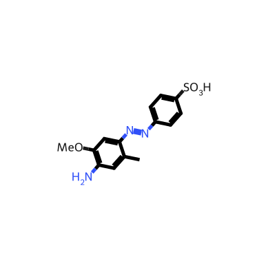 COc1cc(N=Nc2ccc(S(=O)(=O)O)cc2)c(C)cc1N